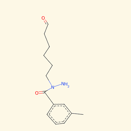 Cc1cccc(C(=O)N(N)CCCCCC=O)c1